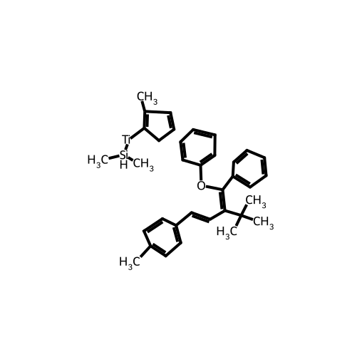 CC1=[C]([Ti][SiH](C)C)CC=C1.Cc1ccc(C=CC(=C(Oc2ccccc2)c2ccccc2)C(C)(C)C)cc1